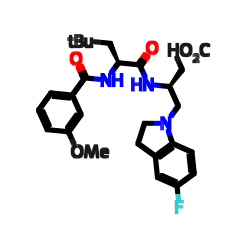 COc1cccc(C(=O)N[C@@H](CC(C)(C)C)C(=O)N[C@@H](CC(=O)O)CN2CCc3cc(F)ccc32)c1